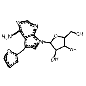 Nc1ncnc2c1c(-c1ccco1)cn2C1OC(CO)C(O)C1O